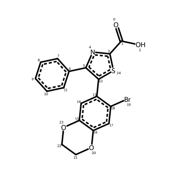 O=C(O)c1nc(-c2ccccc2)c(-c2cc3c(cc2Br)OCCO3)s1